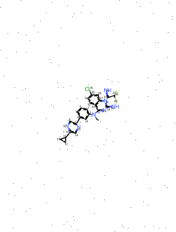 CN(c1cccc(-c2cnc(C3CC3)cn2)c1)c1nc(=N)n(C(=N)C(F)F)c2cc(Cl)ccc12